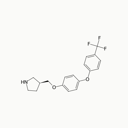 FC(F)(F)c1ccc(Oc2ccc(OC[C@H]3CCNC3)cc2)cc1